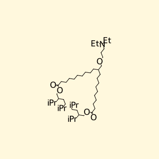 CCN(CC)CCCOCC(CCCCCCCCCC(=O)OCC(CCC(C)C)C(C)C)CCCCCCCCCC(=O)OCC(CCC(C)C)C(C)C